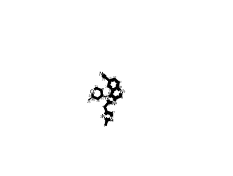 Cc1nc(Cc2nc3cnc4ccc(C#N)cc4c3n2[C@@H]2CCO[C@H](C)C2)cs1